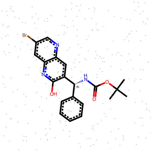 CC(C)(C)OC(=O)N[C@H](c1ccccc1)c1cc2ncc(Br)cc2nc1O